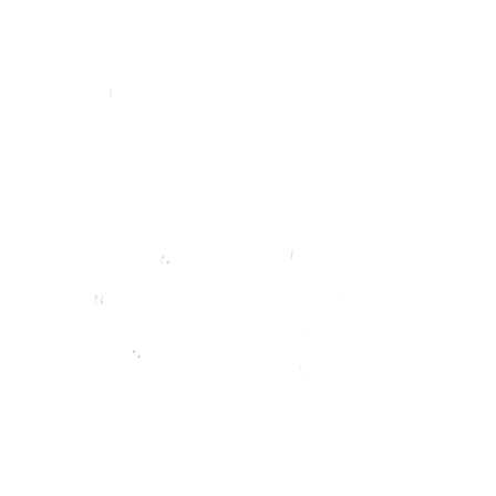 COC(=O)c1ccc(-c2nc(C3CCC(F)CC3)cnc2N)cc1F